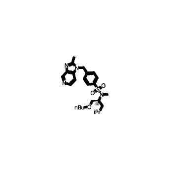 CCCCOC[C@H](CC(C)C)N(C)S(=O)(=O)c1ccc(Cn2c(C)nc3cnccc32)cc1